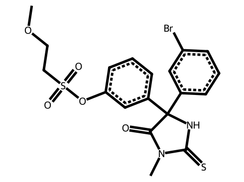 COCCS(=O)(=O)Oc1cccc(C2(c3cccc(Br)c3)NC(=S)N(C)C2=O)c1